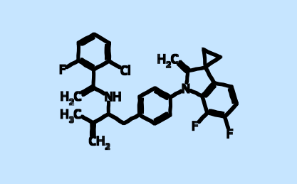 C=C(NC(Cc1ccc(N2C(=C)C3(CC3)c3ccc(F)c(F)c32)cc1)C(=C)C)c1c(F)cccc1Cl